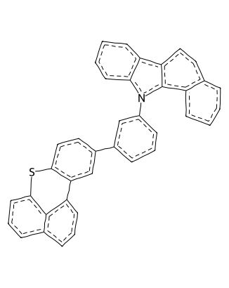 c1cc(-c2ccc3c(c2)-c2cccc4cccc(c24)S3)cc(-n2c3ccccc3c3ccc4ccccc4c32)c1